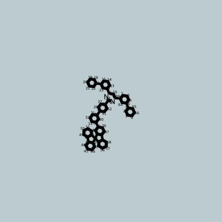 c1ccc(-c2cccc(-c3cc(-c4cccc(-c5ccccc5)c4)nc(-c4ccc(-c5cccc(-c6ccc7c(c6)C6(c8ccccc8-c8ccccc86)c6ccccc6-7)c5)cc4)n3)c2)cc1